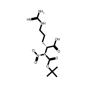 CC(C)(C)OC(=O)N([C@H](CCCNC(=N)N)C(=O)O)[N+](=O)[O-]